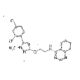 Cn1nc(OCCNc2ncnc3ccccc23)cc1-c1ccc(Cl)cc1Cl